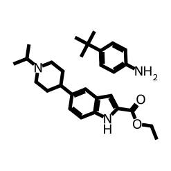 CC(C)(C)c1ccc(N)cc1.CCOC(=O)c1cc2cc(C3CCN(C(C)C)CC3)ccc2[nH]1